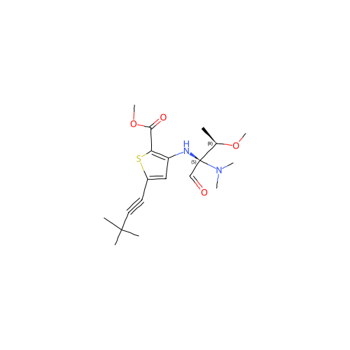 COC(=O)c1sc(C#CC(C)(C)C)cc1N[C@@](C=O)([C@@H](C)OC)N(C)C